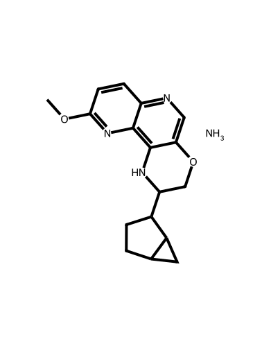 COc1ccc2ncc3c(c2n1)NC(C1CCC2CC21)CO3.N